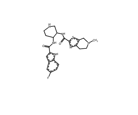 CN1CCc2nc(C(=O)NC3CNCCC3NC(=O)c3cc4cc(F)ccc4[nH]3)sc2C1